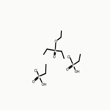 CCOP(=O)(CC)CC.CCP(=O)(O)Cl.CCP(=O)(O)Cl